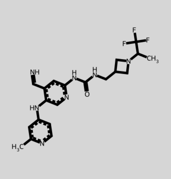 Cc1cc(Nc2cnc(NC(=O)NCC3CN(C(C)C(F)(F)F)C3)cc2C=N)ccn1